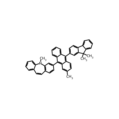 Cc1ccc2c(-c3ccc4c(c3)C(C)(C)c3ccccc3-4)c3ccccc3c(-c3ccc4c(c3)N(C)c3ccccc3C=C4)c2c1